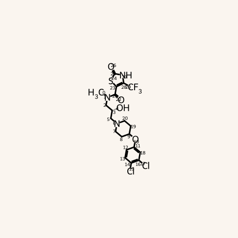 CN(C[C@H](O)CN1CCC(Oc2ccc(Cl)c(Cl)c2)CC1)C(=O)c1sc(=O)[nH]c1C(F)(F)F